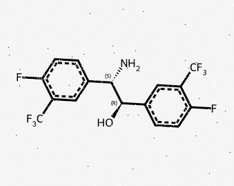 N[C@@H](c1ccc(F)c(C(F)(F)F)c1)[C@H](O)c1ccc(F)c(C(F)(F)F)c1